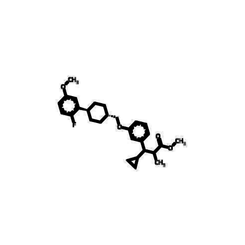 COC(=O)C(C)C(c1cccc(OC[C@H]2CC[C@H](c3cc(OC)ccc3F)CC2)c1)C1CC1